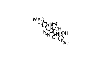 COc1cc(OCC2CC2)c(-c2ncnc3c(C(=O)N[C@@H]4CCN(C(C)=O)C[C@H]4O)c(C)[nH]c23)cc1F